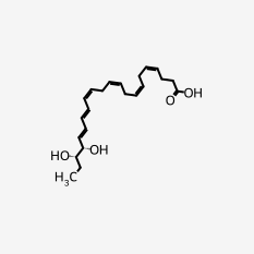 CC[C@H](O)[C@@H](O)/C=C/C=C/C=C\C/C=C\C/C=C\C/C=C\CCC(=O)O